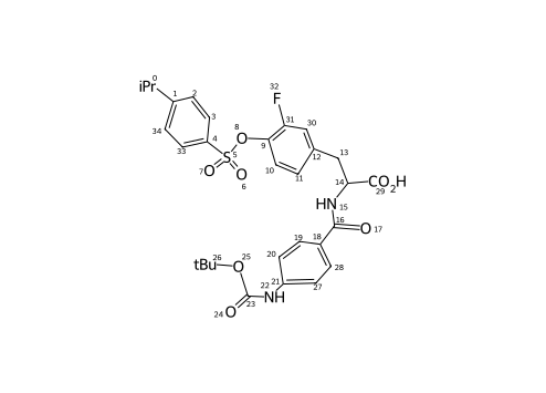 CC(C)c1ccc(S(=O)(=O)Oc2ccc(CC(NC(=O)c3ccc(NC(=O)OC(C)(C)C)cc3)C(=O)O)cc2F)cc1